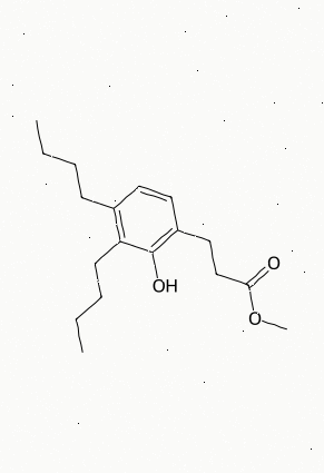 CCCCc1ccc(CCC(=O)OC)c(O)c1CCCC